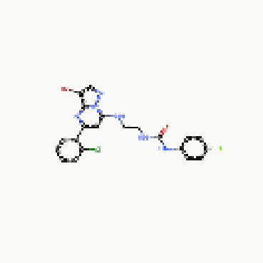 O=C(NCCNc1cc(-c2ccccc2Cl)nc2c(Br)cnn12)Nc1ccc(F)cc1